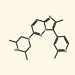 Cc1cc(-c2c(C)nc3ccc(N4CC(C)NC(C)C4)nn23)ccn1